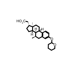 C[C@@H]1Cc2cc(OC3CCCCO3)ccc2[C@H]2CC[C@]3(C)[C@@H](CC(=O)O)CC[C@H]3[C@H]12